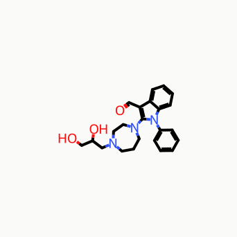 O=Cc1c(N2CCCN(CC(O)CO)CC2)n(-c2ccccc2)c2ccccc12